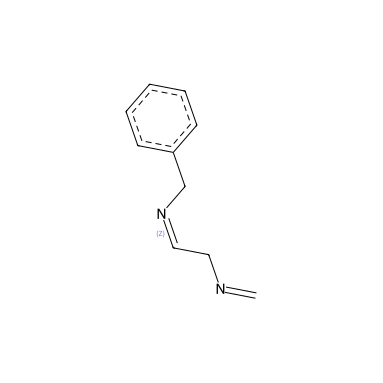 C=NC/C=N\Cc1ccccc1